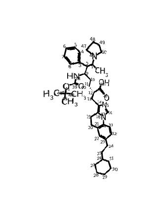 CC(C(c1ccccc1)C(CC[C@@H](Cc1ncn2c1CCc1cc(CCC3CCCCC3)ccc1-2)C(=O)O)NC(=O)OC(C)(C)C)N1CCCC1